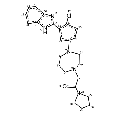 O=C(CN1CCCN(c2ccc(Cl)c(-c3nc4ccccc4[nH]3)c2)CC1)N1CCCC1